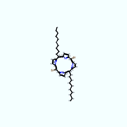 CCCCCCCCCCC1=C2C=CC(=N2)C(Br)=C2C=CC(=N2)C(CCCCCCCCCC)=C2C=CC(=N2)C(Br)=C2C=CC1=N2